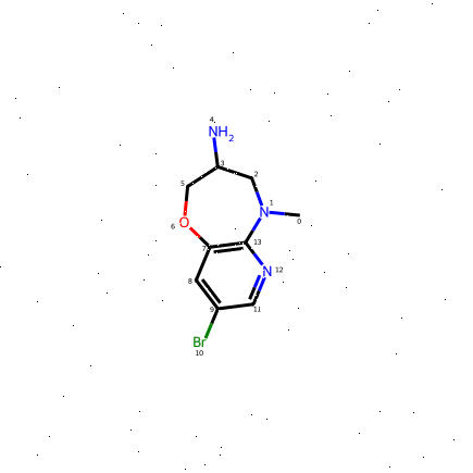 CN1CC(N)COc2cc(Br)cnc21